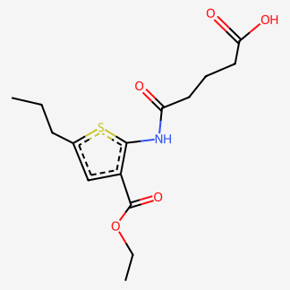 CCCc1cc(C(=O)OCC)c(NC(=O)CCCC(=O)O)s1